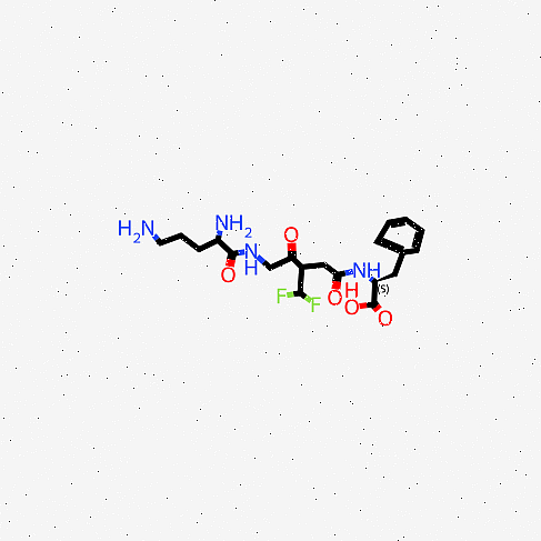 NCCCC(N)C(=O)NCC(=O)C(CC(=O)N[C@@H](Cc1ccccc1)C(=O)O)C(F)F